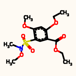 CCOC(=O)c1cc(S(=O)(=O)N(C)OC)c(OC)cc1OCC